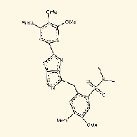 COc1cc(Cc2nnc3sc(-c4cc(OC)c(OC)c(OC)c4)nn23)c(S(=O)(=O)N(C)C)cc1OC